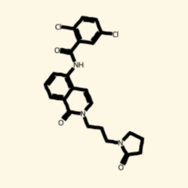 O=C(Nc1cccc2c(=O)n(CCCN3CCCC3=O)ccc12)c1cc(Cl)ccc1Cl